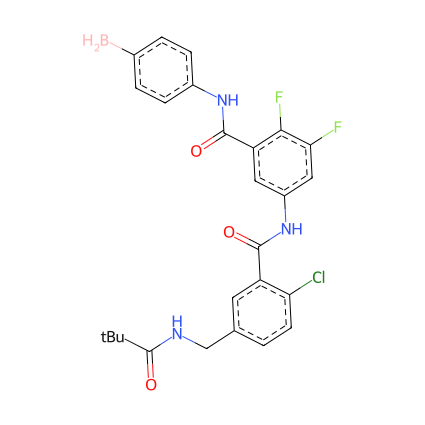 Bc1ccc(NC(=O)c2cc(NC(=O)c3cc(CNC(=O)C(C)(C)C)ccc3Cl)cc(F)c2F)cc1